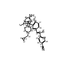 CC1C2[C@@]1(C(=O)N1CCN(CC3CC3)CC1)SC(N)=N[C@]2(C)c1cc(/C=C(\F)c2ccc(C#N)cn2)ccc1F